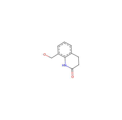 [O]Cc1cccc2c1NC(=O)CC2